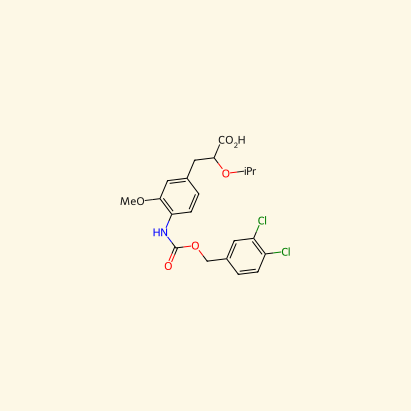 COc1cc(CC(OC(C)C)C(=O)O)ccc1NC(=O)OCc1ccc(Cl)c(Cl)c1